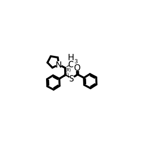 C[C@H]([C@@H](SC(=O)c1ccccc1)c1ccccc1)N1CCCC1